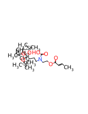 CC=CC(=O)OCCN(CCC[Si](O[Si](C)(C)C)(O[Si](C)(C)C)O[Si](C)(C)C)C(=O)O